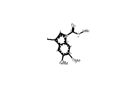 COc1cc2c(C)cn(C(=O)OC(C)(C)C)c2cc1OC